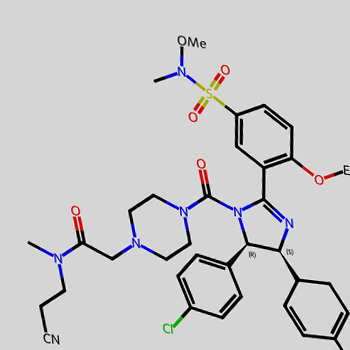 CCOc1ccc(S(=O)(=O)N(C)OC)cc1C1=N[C@@H](C2C=CC(Cl)=CC2)[C@@H](c2ccc(Cl)cc2)N1C(=O)N1CCN(CC(=O)N(C)CCC#N)CC1